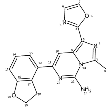 Cc1nc(-c2ncco2)c2cc(-c3cccc4c3CCO4)nc(N)n12